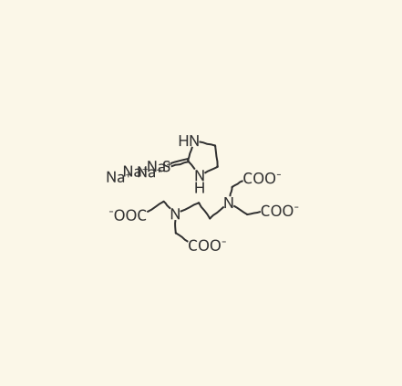 O=C([O-])CN(CCN(CC(=O)[O-])CC(=O)[O-])CC(=O)[O-].S=C1NCCN1.[Na+].[Na+].[Na+].[Na+]